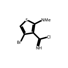 CNc1scc(Br)c1C(=N)Cl